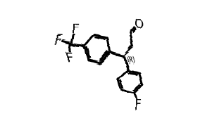 O=CC[C@@H](c1ccc(F)cc1)c1ccc(C(F)(F)F)cc1